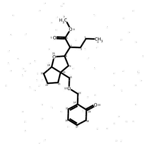 CCCC(C(=O)OC)C1CC2(COCC3=CC=CCC3=O)CCCC2O1